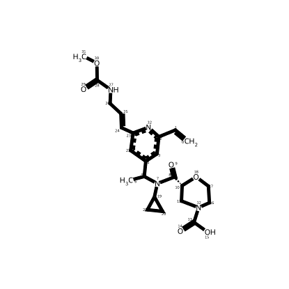 C=Cc1cc(C(C)N(C(=O)[C@H]2CN(C(=O)O)CCO2)C2CC2)cc(C=CCNC(=O)OC)n1